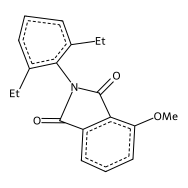 CCc1cccc(CC)c1N1C(=O)c2cccc(OC)c2C1=O